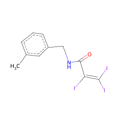 Cc1cccc(CNC(=O)C(I)=C(I)I)c1